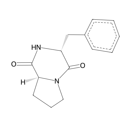 O=C1N[C@H](Cc2ccccc2)C(=O)N2CCC[C@@H]12